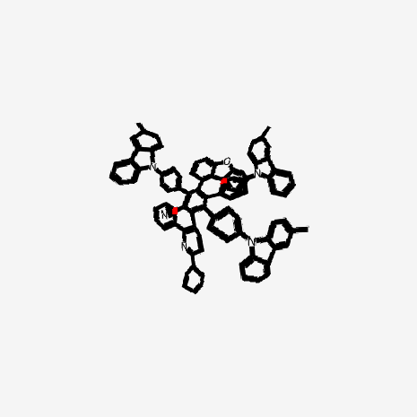 Cc1ccc2c(c1)c1ccccc1n2-c1ccc(-c2c(C#N)c(-c3ccc(-c4ccccc4)nc3-c3ccccc3)c(-c3ccc(-n4c5ccccc5c5cc(C)ccc54)cc3)c(-c3ccc(-n4c5ccccc5c5cc(C)ccc54)cc3)c2-c2cccc3oc4ccccc4c23)cc1